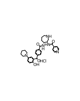 Cl.O=C(N[C@@H]1CCCNC[C@H]1NC(=O)c1ccncc1)c1ccc(C(=O)c2cc(N3CCCCC3)ccc2O)cc1